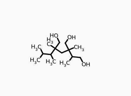 CC(C)C(C)C(C)(CO)CC(C)(CO)C(C)CO